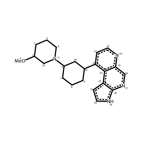 COC1CCCN(C2[CH]CCC(c3ccnc4cnc5[nH]ccc5c34)C2)C1